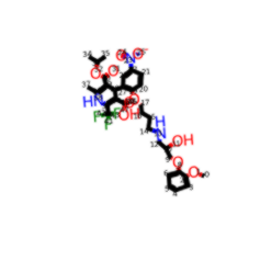 COc1ccccc1OCC(O)CNCCCCOc1ccc([N+](=O)[O-])cc1C1C(C(=O)OC(C)C)=C(C)NC(C(F)(F)F)=C1C(=O)O